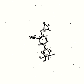 CC1(C)OB(c2ccc(CC3CCC3)c(C#N)c2)OC1(C)C